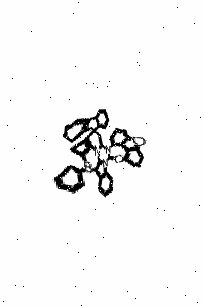 O=C1N(c2cccc3oc4ccccc4c23)C2=CC3(c4ccccc4-c4ccccc43)c3cccc4c3N2c2c(c3ccccc3n21)B4c1ccccc1